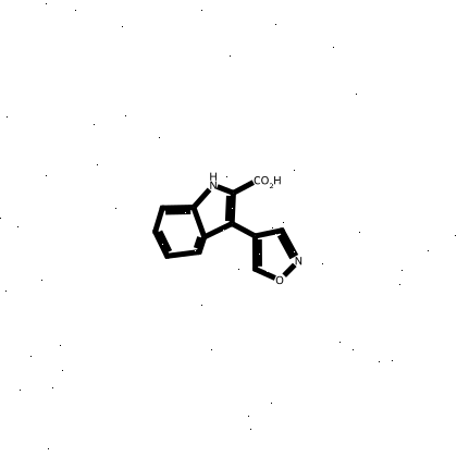 O=C(O)c1[nH]c2ccccc2c1-c1cnoc1